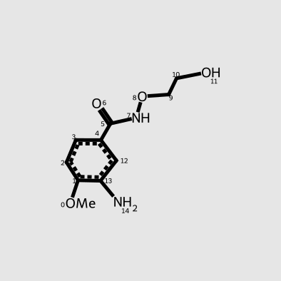 COc1ccc(C(=O)NOCCO)cc1N